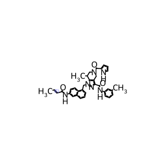 C/C=C/C(=O)Nc1ccc2c(Cn3nc(C(=O)Nc4cccc(C)c4)c4c3C(C)CN(C(=O)c3ccc[nH]3)C4)cccc2c1